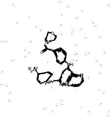 N[C@H]1CC[C@H](Nc2cc(Nc3ccc(C(=O)N4CCOCC4)cc3)c3nccn3n2)CC1